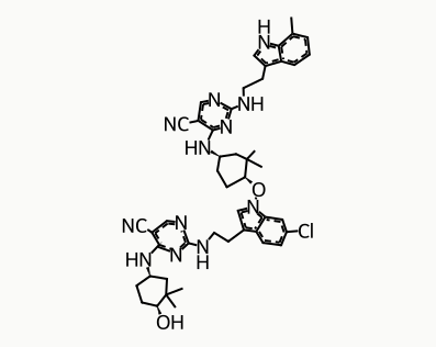 Cc1cccc2c(CCNc3ncc(C#N)c(N[C@@H]4CC[C@H](On5cc(CCNc6ncc(C#N)c(N[C@@H]7CC[C@H](O)C(C)(C)C7)n6)c6ccc(Cl)cc65)C(C)(C)C4)n3)c[nH]c12